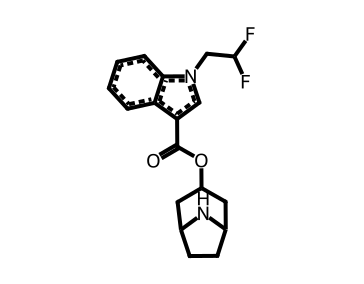 O=C(OC1CC2CCC(C1)N2)c1cn(CC(F)F)c2ccccc12